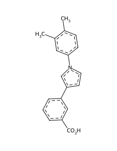 Cc1ccc(-n2ccc(-c3cccc(C(=O)O)c3)c2)cc1C